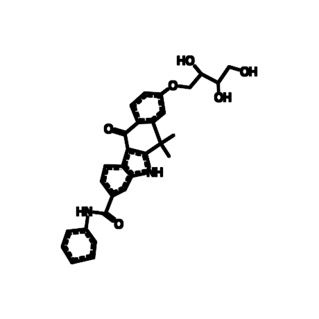 CC1(C)c2cc(OCC(O)C(O)CO)ccc2C(=O)c2c1[nH]c1cc(C(=O)Nc3ccccc3)ccc21